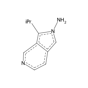 CC(C)c1c2cnccc2cn1N